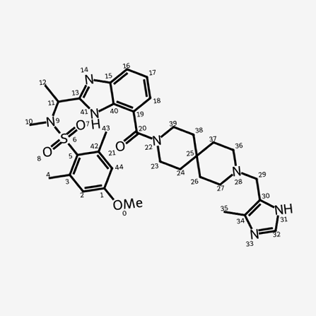 COc1cc(C)c(S(=O)(=O)N(C)C(C)c2nc3cccc(C(=O)N4CCC5(CCN(Cc6[nH]cnc6C)CC5)CC4)c3[nH]2)c(C)c1